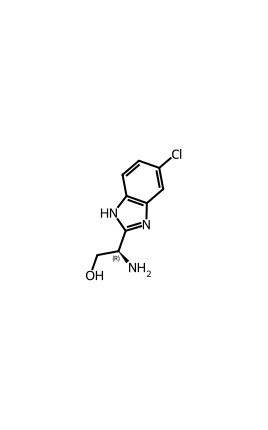 N[C@@H](CO)c1nc2cc(Cl)ccc2[nH]1